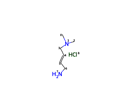 CN(C)C/C=C/CN.Cl